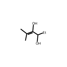 CCC(O)C(O)=C(C)C